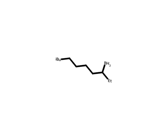 BC(CC)CCCCC(C)CC